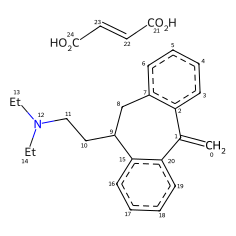 C=C1c2ccccc2CC(CCN(CC)CC)c2ccccc21.O=C(O)C=CC(=O)O